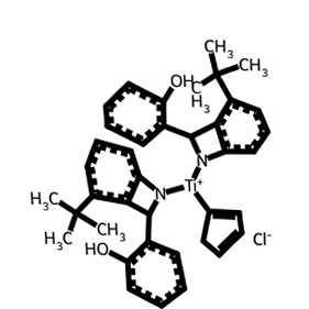 CC(C)(C)c1cccc2c1C(c1ccccc1O)[N]2[Ti+]([C]1=CC=CC1)[N]1c2cccc(C(C)(C)C)c2C1c1ccccc1O.[Cl-]